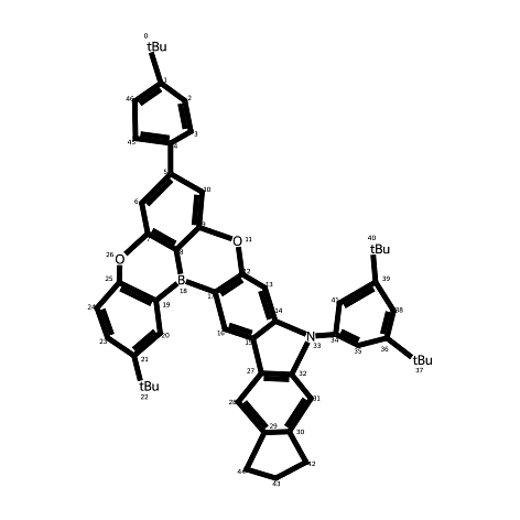 CC(C)(C)c1ccc(-c2cc3c4c(c2)Oc2cc5c(cc2B4c2cc(C(C)(C)C)ccc2O3)c2cc3c(cc2n5-c2cc(C(C)(C)C)cc(C(C)(C)C)c2)CCC3)cc1